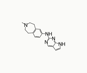 CN1CCc2ccc(Nc3ncc4cc[nH]c4n3)cc2CC1